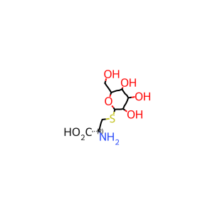 N[C@@H](CSC1OC(CO)C(O)C(O)C1O)C(=O)O